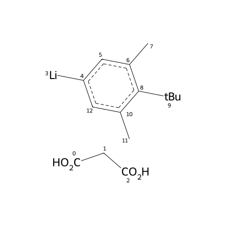 O=C(O)CC(=O)O.[Li][c]1cc(C)c(C(C)(C)C)c(C)c1